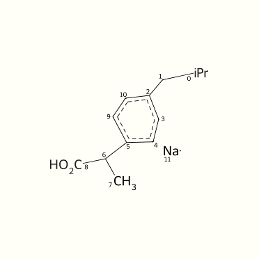 CC(C)Cc1ccc(C(C)C(=O)O)cc1.[Na]